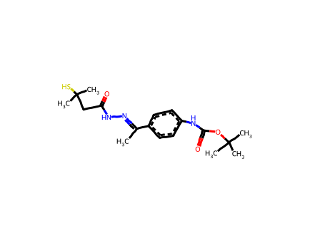 C/C(=N\NC(=O)CC(C)(C)S)c1ccc(NC(=O)OC(C)(C)C)cc1